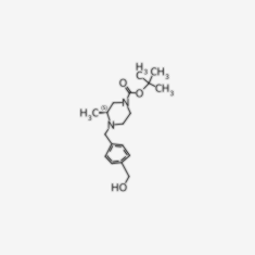 C[C@H]1CN(C(=O)OC(C)(C)C)CCN1Cc1ccc(CO)cc1